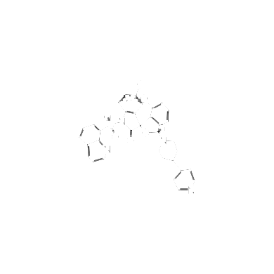 COc1ccccc1C1(OC(=O)N2CCC(c3ccncc3)CC2)C(=O)N(S(=O)(=O)c2cccc3cccnc23)c2ccc(Cl)cc21